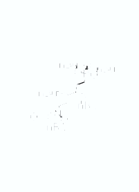 CCCCO[C@@H](CCN(C=O)OCCCC)[C@@H](/C=C/P(=O)(OCCCC)OCCCC)OCCCC